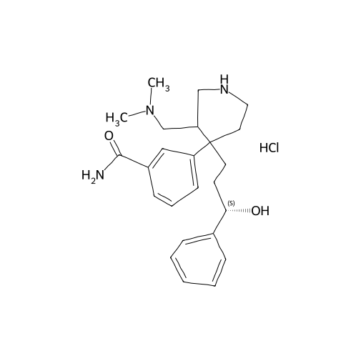 CN(C)CC1CNCCC1(CC[C@H](O)c1ccccc1)c1cccc(C(N)=O)c1.Cl